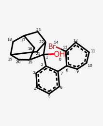 OC1(c2ccccc2-c2ccccc2Br)C2CC3CC(C2)CC1C3